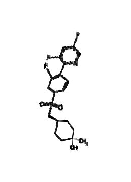 C[C@]1(O)CC[C@@H](CS(=O)(=O)C2C=CC(c3ncc(F)cc3F)=C(F)C2)CC1